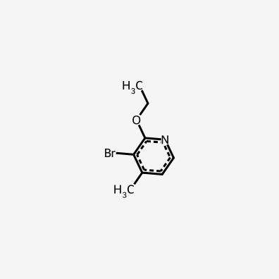 CCOc1nccc(C)c1Br